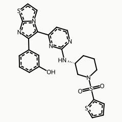 O=S(=O)(c1cccs1)N1CCC[C@@H](Nc2nccc(-c3c(-c4cccc(O)c4)nc4sccn34)n2)C1